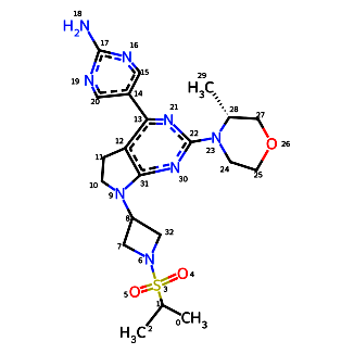 CC(C)S(=O)(=O)N1CC(N2CCc3c(-c4cnc(N)nc4)nc(N4CCOC[C@H]4C)nc32)C1